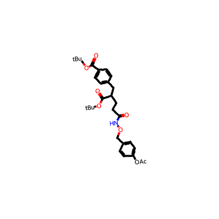 CC(=O)Oc1ccc(CONC(=O)CCC(Cc2ccc(C(=O)OC(C)(C)C)cc2)C(=O)OC(C)(C)C)cc1